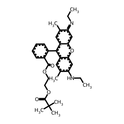 CC/N=c1/cc2oc3cc(NCC)c(C)cc3c(-c3ccccc3C(=O)OCCOC(=O)C(C)(C)C)c-2cc1C